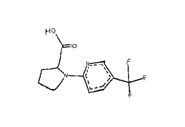 O=C(O)C1CCCN1c1ccc(C(F)(F)F)cn1